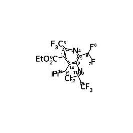 CCOC(=O)c1c(C(F)(F)F)nc(C(F)F)c(N=C(Cl)C(F)(F)F)c1CC(C)C